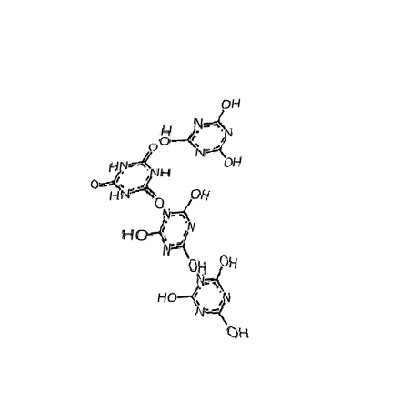 O=c1[nH]c(=O)[nH]c(=O)[nH]1.Oc1nc(O)nc(O)n1.Oc1nc(O)nc(O)n1.Oc1nc(O)nc(O)n1